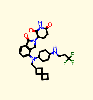 O=C1CCC(N2Cc3c(cccc3N(CC3CC4(CCC4)C3)C3CCC(NCCC(F)(F)F)CC3)C2=O)C(=O)N1